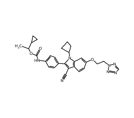 CC(OC(=O)Nc1ccc(-c2c(C#N)c3ccc(OCCn4ncnn4)cc3n2C2CCC2)cc1)C1CC1